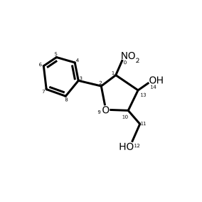 O=[N+]([O-])C1C(c2ccccc2)OC(CO)C1O